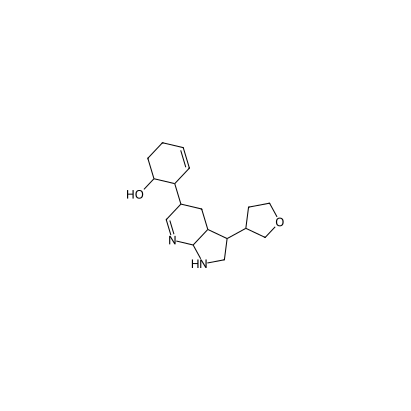 OC1CCC=CC1C1C=NC2NCC(C3CCOC3)C2C1